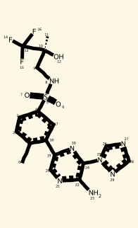 Cc1ccc(S(=O)(=O)NC[C@](C)(O)C(F)(F)F)cc1-c1cnc(N)c(-n2cncn2)n1